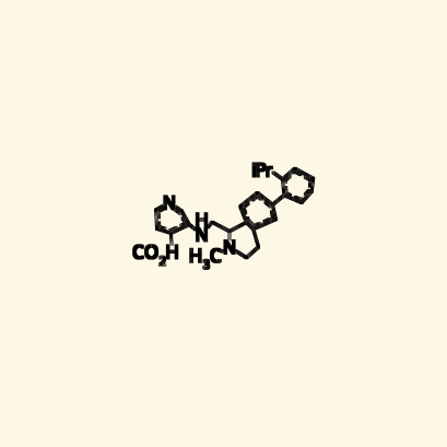 CC(C)c1ccccc1-c1ccc2c(c1)CCN(C)C2CNc1cnccc1C(=O)O